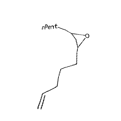 C=CCCCC1OC1CCCCC